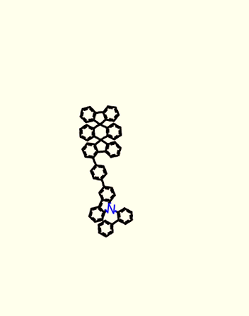 c1ccc(-c2ccccc2-n2c3ccccc3c3cc(-c4ccc(-c5cccc6c5-c5ccccc5C65c6ccccc6C6(c7ccccc7-c7ccccc76)c6ccccc65)cc4)ccc32)cc1